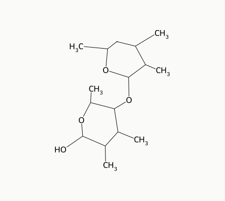 CC1CC(C)C(C)C(OC2C(C)OC(O)C(C)C2C)O1